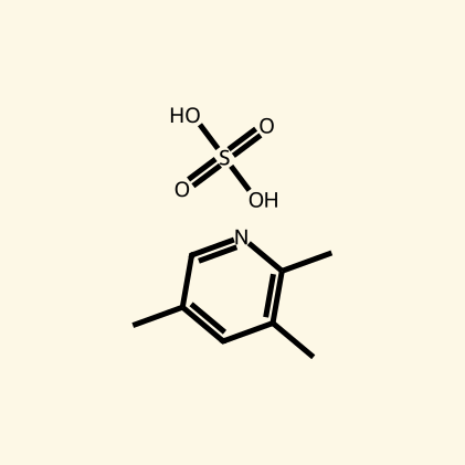 Cc1cnc(C)c(C)c1.O=S(=O)(O)O